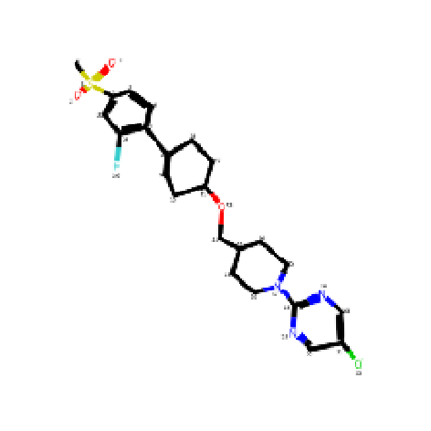 CS(=O)(=O)c1ccc(C2CCC(OCC3CCN(c4ncc(Cl)cn4)CC3)CC2)c(F)c1